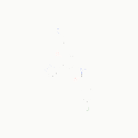 Cn1nccc1-c1cc(NC(=O)Cc2ccc(Cl)cc2)ccc1OC1CCNCC1